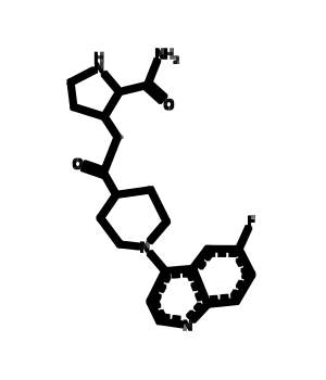 NC(=O)C1NCCC1[CH]C(=O)C1CCN(c2ccnc3ccc(F)cc23)CC1